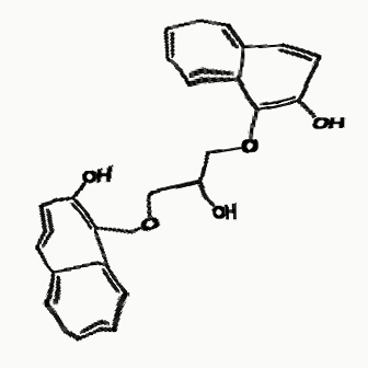 Oc1ccc2ccccc2c1OCC(O)COc1c(O)ccc2ccccc12